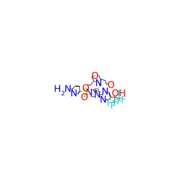 CCC1COCC(CC=O)N1C[C@H]1CN(S(=O)(=O)c2ccc(N)nc2)CCN1c1ncc(C(O)(C(F)(F)F)C(F)(F)F)cn1